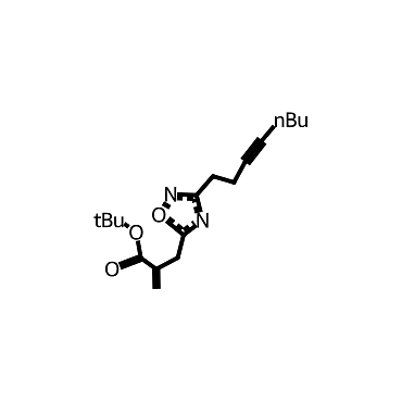 C=C(Cc1nc(CCC#CCCCC)no1)C(=O)OC(C)(C)C